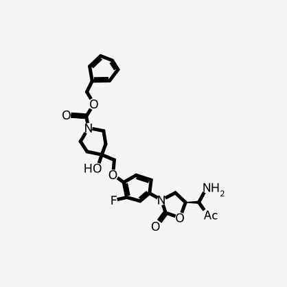 CC(=O)C(N)[C@@H]1CN(c2ccc(OCC3(O)CCN(C(=O)OCc4ccccc4)CC3)c(F)c2)C(=O)O1